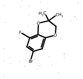 CC1(C)COc2cc(Br)cc(F)c2O1